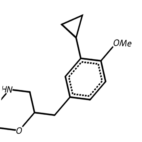 COc1ccc(CC2CNCCO2)cc1C1CC1